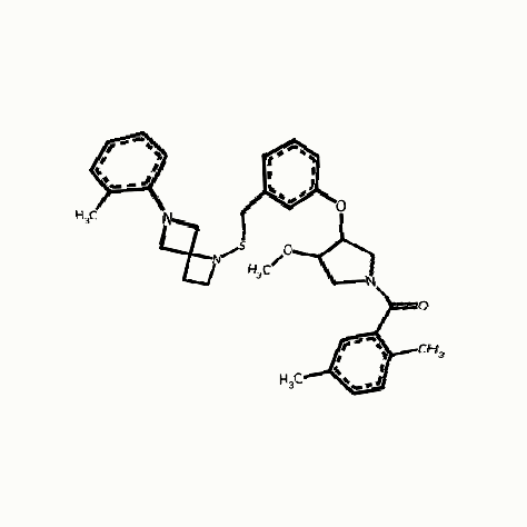 COC1CN(C(=O)c2cc(C)ccc2C)CC1Oc1cccc(CSN2CCC23CN(c2ccccc2C)C3)c1